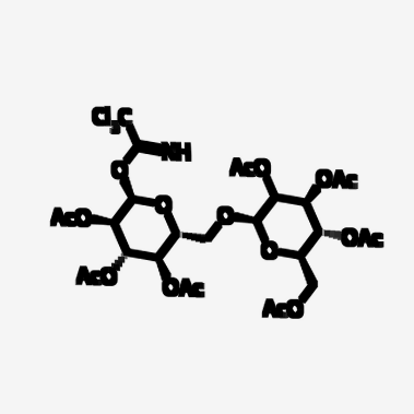 CC(=O)OC[C@H]1O[C@@H](OC[C@H]2O[C@H](OC(=N)C(Cl)(Cl)Cl)[C@H](OC(C)=O)[C@@H](OC(C)=O)[C@@H]2OC(C)=O)C(OC(C)=O)[C@@H](OC(C)=O)[C@@H]1OC(C)=O